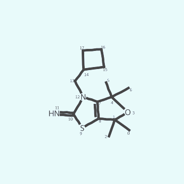 CC1(C)OC(C)(C)c2c1sc(=N)n2CC1CCC1